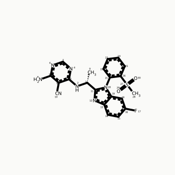 C[C@@H](Nc1ncnc(N)c1C#N)c1nc2ccc(F)cc2n1-c1ccccc1S(C)(=O)=O